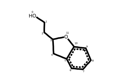 OCCC1Cc2ccccc2O1